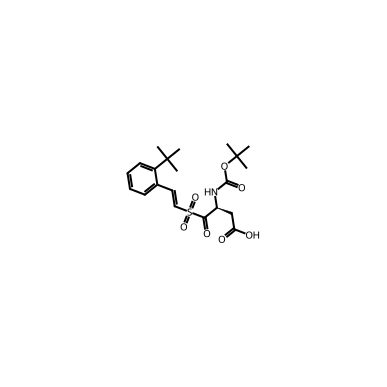 CC(C)(C)OC(=O)N[C@@H](CC(=O)O)C(=O)S(=O)(=O)C=Cc1ccccc1C(C)(C)C